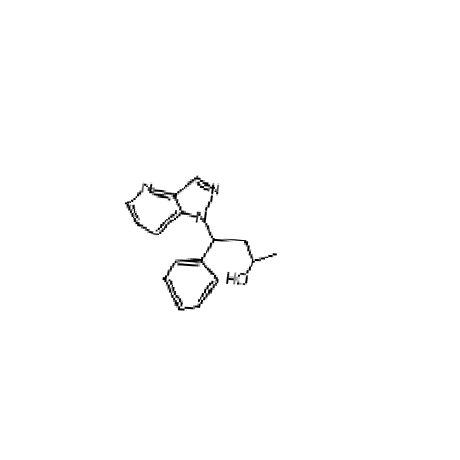 CC(O)CC(c1ccccc1)n1ncc2ncccc21